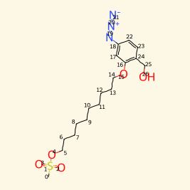 CS(=O)(=O)OCCCCCCCCCCOc1cc(N=[N+]=[N-])ccc1CO